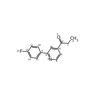 CCC(=O)c1ccnc(-c2ccc(F)cc2)c1